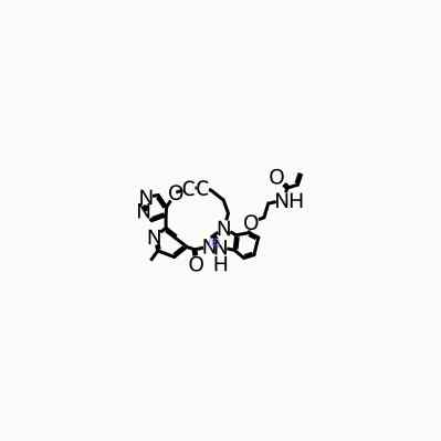 C=CC(=O)NCCOc1cccc2c1N1CCCCCOc3cnncc3-c3cc(cc(C)n3)C(=O)/N=C/1N2